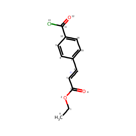 CCOC(=O)/C=C/c1ccc(C(=O)Cl)cc1